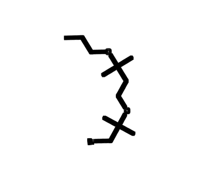 CCCOC(C)(C)CCOC(C)(C)CBr